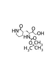 CC(C)(C)OC(=O)N[C@@H](C[C@@H]1CCCNC1=O)C(=O)CO